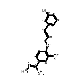 N/C(=N\O)c1ccc(OC/C=C/c2cccc(Br)c2)c(C(F)(F)F)c1